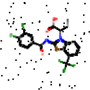 CCC(C(=O)O)n1c(=NC(=O)c2ccc(F)c(F)c2)sc2c(C(F)(F)F)cccc21